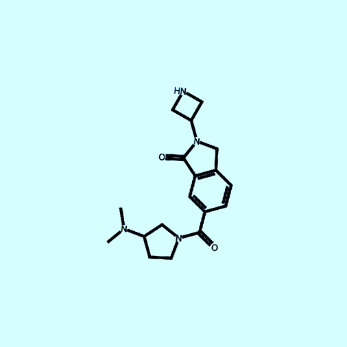 CN(C)C1CCN(C(=O)c2ccc3c(c2)C(=O)N(C2CNC2)C3)C1